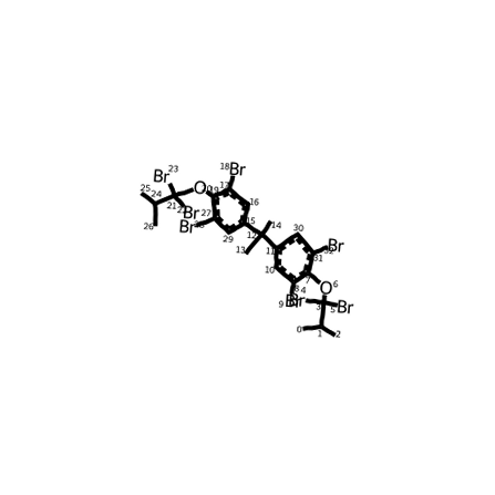 CC(C)C(Br)(Br)Oc1c(Br)cc(C(C)(C)c2cc(Br)c(OC(Br)(Br)C(C)C)c(Br)c2)cc1Br